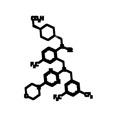 CCN(C[C@H]1CC[C@H](CC(=O)O)CC1)c1ccc(C(F)(F)F)cc1CN(Cc1cc(C(F)(F)F)cc(C(F)(F)F)c1)c1ncc(N2CCOCC2)cn1